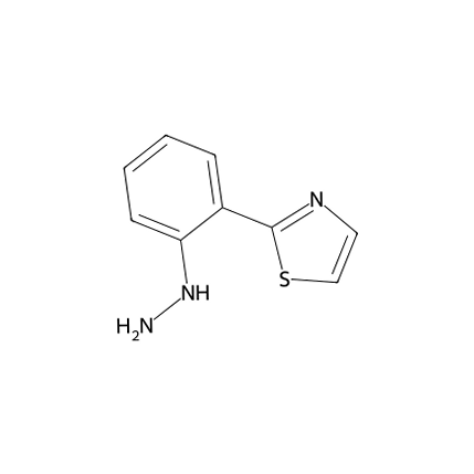 NNc1ccccc1-c1nccs1